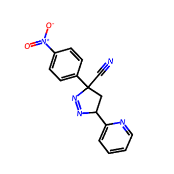 N#CC1(c2ccc([N+](=O)[O-])cc2)CC(c2ccccn2)N=N1